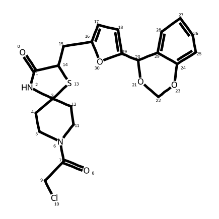 O=C1NC2(CCN(C(=O)CCl)CC2)SC1Cc1ccc(C2OCOc3ccccc32)o1